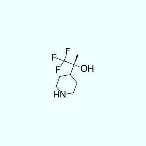 C[C@@](O)(C1CCNCC1)C(F)(F)F